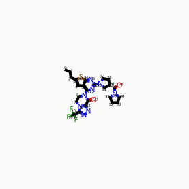 CCCc1cc2c(N3CCn4c(nnc4C(F)(F)F)C3=O)nc(N3CC[C@H](C(=O)N4CCCC4)C3)nc2s1